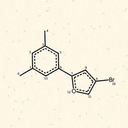 Cc1cc(C)cc(-c2cc(Br)co2)c1